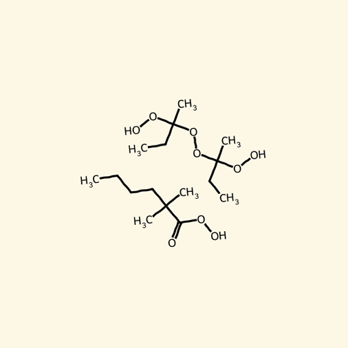 CCC(C)(OO)OOC(C)(CC)OO.CCCCC(C)(C)C(=O)OO